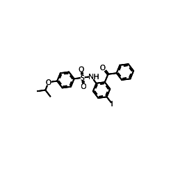 CC(C)Oc1ccc(S(=O)(=O)Nc2ccc(I)cc2C(=O)c2ccccc2)cc1